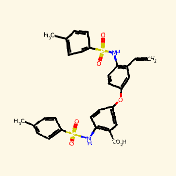 C=Cc1cc(Oc2ccc(NS(=O)(=O)c3ccc(C)cc3)c(C(=O)O)c2)ccc1NS(=O)(=O)c1ccc(C)cc1